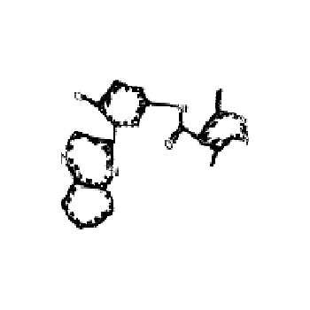 Cc1noc(C)c1C(=O)Nc1ccc(Cl)c(-c2cnc3ccccc3n2)c1